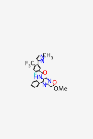 COC(=O)Cc1ncc(NC(=O)c2cc(-c3ccn(C)n3)c(C(F)(F)F)cc2F)c(-c2ccccc2)n1